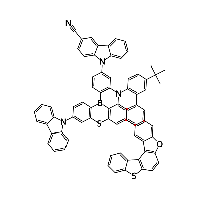 CC(C)(C)c1ccc(N2c3cc(-n4c5ccccc5c5cc(C#N)ccc54)ccc3B3c4ccc(-n5c6ccccc6c6ccccc65)cc4Sc4cc(-c5ccc6oc7ccc8sc9ccccc9c8c7c6c5)cc2c43)c(-c2ccccc2)c1